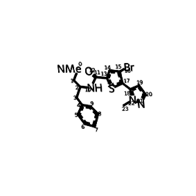 CNCC(Cc1ccccc1)NC(=O)c1cc(Br)c(-c2ccnn2C)s1